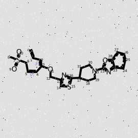 C=C/C=C(\C=C/CS(C)(=O)=O)OCc1csc(C2CCN(c3nc4ccccc4o3)CC2)n1